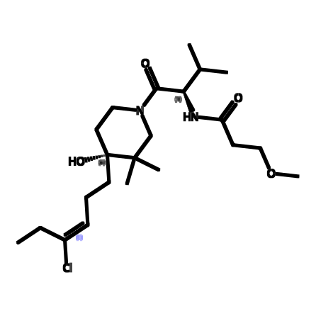 CC/C(Cl)=C\CC[C@@]1(O)CCN(C(=O)[C@H](NC(=O)CCOC)C(C)C)CC1(C)C